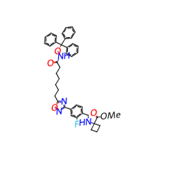 COC(=O)C1(NCc2ccc(-c3noc(CCCCCCC(=O)NOC(c4ccccc4)(c4ccccc4)c4ccccc4)n3)cc2F)CCC1